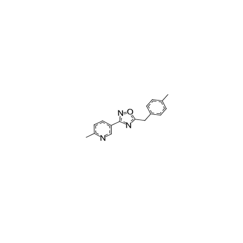 Cc1ccc(Cc2nc(-c3ccc(C)nc3)no2)cc1